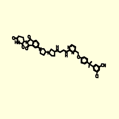 CC(C)(c1ccc(OCc2ccnc(NCCNC3CCN(C4CCN(c5ccc6c(c5)C(=O)N(C5CCC(=O)NC5=O)C6=O)C4)C3)n2)cc1)c1cc(Cl)cc(C#N)c1